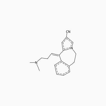 CN(C)CC/C=C1\c2ccccc2CCn2cc(C#N)cc21